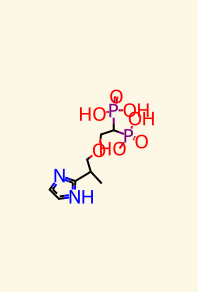 CC(COCC(P(=O)(O)O)P(=O)(O)O)c1ncc[nH]1